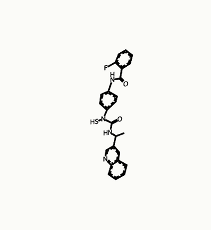 CC(NC(=O)N(S)c1ccc(NC(=O)c2ccccc2F)cc1)c1cnc2ccccc2c1